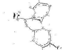 Fc1ccc(C=C(c2ccccc2)C(F)(F)F)cc1